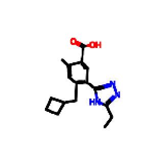 CCc1nnc(-c2cc(C(=O)O)c(C)cc2CC2CCC2)[nH]1